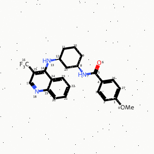 COc1ccc(C(=O)N[C@@H]2CCC[C@H](Nc3c(C(F)(F)F)cnc4ccccc34)C2)cc1